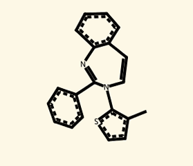 Cc1ccsc1N1C=Cc2ccccc2N=C1c1ccccc1